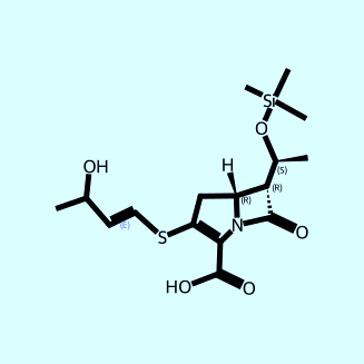 CC(O)/C=C/SC1=C(C(=O)O)N2C(=O)[C@@H]([C@H](C)O[Si](C)(C)C)[C@H]2C1